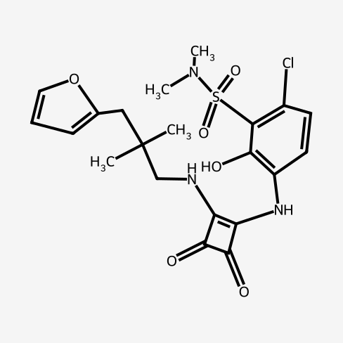 CN(C)S(=O)(=O)c1c(Cl)ccc(Nc2c(NCC(C)(C)Cc3ccco3)c(=O)c2=O)c1O